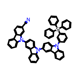 N#Cc1ccc2c3ccccc3n(-c3ccc4c(c3)c3ccccc3n4-c3ccc4c(c3)c3ccccc3n4-c3cccc([Si](c4ccccc4)(c4ccccc4)c4ccccc4)c3)c2c1